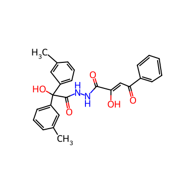 Cc1cccc(C(O)(C(=O)NNC(=O)/C(O)=C/C(=O)c2ccccc2)c2cccc(C)c2)c1